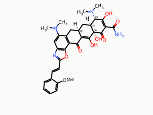 COc1ccccc1C=Cc1nc2cc(N(C)C)c3c(c2o1)C(=O)C1=C(O)[C@]2(O)C(=O)C(C(N)=O)=C(O)[C@@H](N(C)C)[C@@H]2C[C@@H]1C3